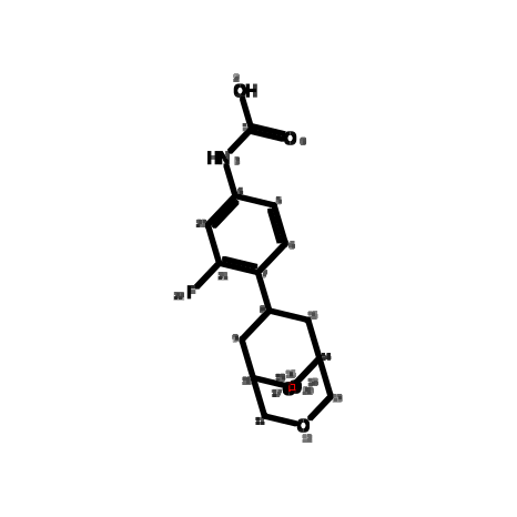 O=C(O)Nc1ccc(C2CC3COCC(C2)C32OCCO2)c(F)c1